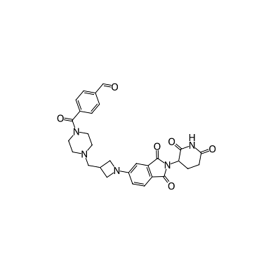 O=Cc1ccc(C(=O)N2CCN(CC3CN(c4ccc5c(c4)C(=O)N(C4CCC(=O)NC4=O)C5=O)C3)CC2)cc1